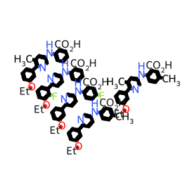 CCOc1cccc(-c2ccc(Nc3ccc(C)cc3C(=O)O)cn2)c1.CCOc1cccc(-c2ccc(Nc3ccc(F)cc3C(=O)O)cn2)c1.CCOc1cccc(-c2ccc(Nc3ccccc3C(=O)O)cn2)c1F.CCOc1cccc(-c2ncc(Nc3ccc(C)cc3C(=O)O)cc2C)c1.CCOc1cccc(-c2ncc(Nc3ccccc3C(=O)O)cc2C)c1